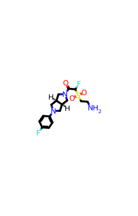 NCCS(=O)(=O)C(F)C(=O)N1C[C@@H]2CN(c3ccc(F)cc3)C[C@@H]2C1